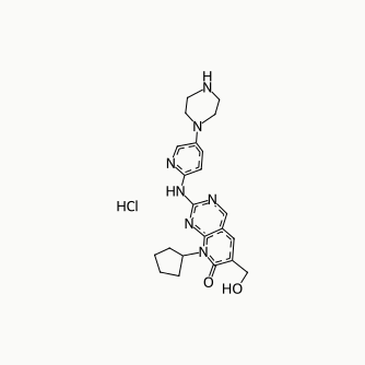 Cl.O=c1c(CO)cc2cnc(Nc3ccc(N4CCNCC4)cn3)nc2n1C1CCCC1